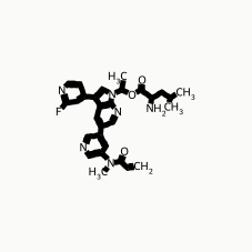 C=CC(=O)N(C)c1cncc(-c2cnc3c(c2)c(-c2ccnc(F)c2)cn3C(C)OC(=O)C(N)CC(C)C)c1